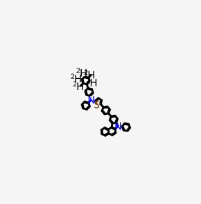 [2H]c1c([2H])c([2H])c(-c2ccc(N(c3ccccc3)c3ccc(-c4ccc(-c5ccc6c(c5)c5c7ccccc7ccc5n6-c5ccccc5)cc4)s3)cc2)c([2H])c1[2H]